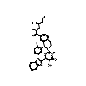 CN(CC(O)CO)C(=O)c1ccc2c(c1)[C@H](c1ccccc1F)N(c1nc(-c3nc4ccccc4o3)c(O)c(=O)n1C)CC2